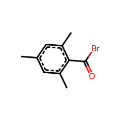 Cc1cc(C)c(C(=O)Br)c(C)c1